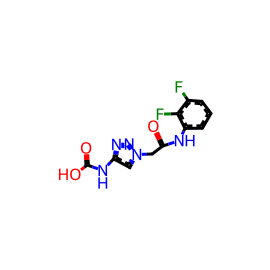 O=C(O)Nc1cn(CC(=O)Nc2cccc(F)c2F)nn1